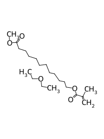 C=C(C)C(=O)OCCCCCCCCCCCC(=O)OC.CCOCC